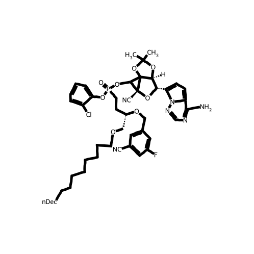 CCCCCCCCCCCCCCCCCCOC[C@H](CCP(=O)(Oc1ccccc1Cl)OC1C23OC(C)(C)O[C@H]2[C@H](c2ccc4c(N)ncnn24)O[C@]13C#N)OCc1cc(F)cc(C#N)c1